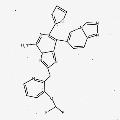 Nc1nc(-c2ncco2)c(-c2ccc3nncn3c2)c2nc(Cc3ncccc3OC(F)F)nn12